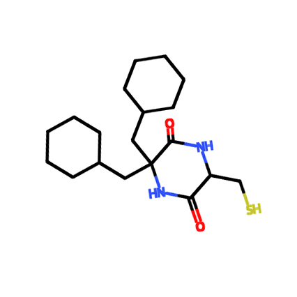 O=C1NC(CC2CCCCC2)(CC2CCCCC2)C(=O)NC1CS